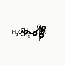 CC(C)(C)c1ccc(CCc2cccc(CNC(=O)[C@@H]3CCCN3S(=O)(=O)c3ccc(F)cc3)c2)cc1